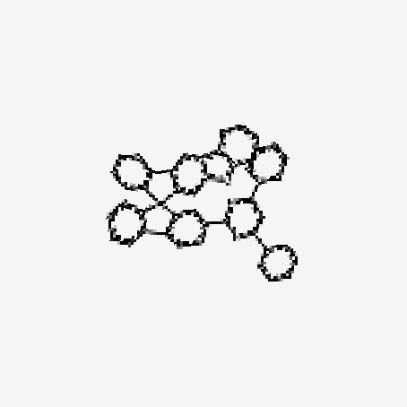 c1ccc(-c2nc(-c3ccccc3)nc(-c3ccc4c(c3)C3(c5ccccc5-4)c4ccccc4-c4cc5c(cc43)oc3ccccc35)n2)cc1